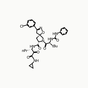 CCC[C@H](NC(=O)[C@@H]1C[C@]2(CC(c3cccc(Cl)c3)=NO2)CN1C(=O)[C@@H](NC(=O)Nc1ccccc1)C(C)(C)C)C(=O)C(=O)NC1CC1